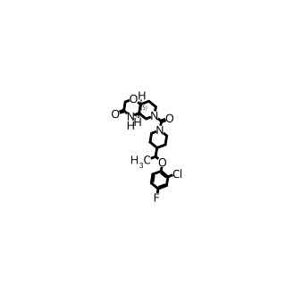 CC(Oc1ccc(F)cc1Cl)C1CCN(C(=O)N2CC[C@@H]3OCC(=O)N[C@@H]3C2)CC1